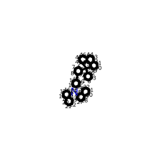 c1ccc(C2(c3cccc(-c4ccc(N(c5cccc6ccccc56)c5cccc6ccccc56)cc4)c3)c3cccc4ccc5cccc2c5c34)cc1